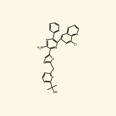 CC(C)(O)c1cccc(Cc2ncc(-c3nc(-c4cc(Cl)c5ncccc5c4)c(-c4ccccc4)nc3N)o2)n1